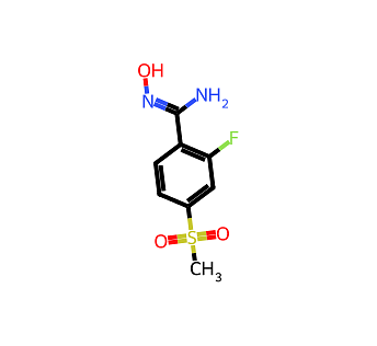 CS(=O)(=O)c1ccc(/C(N)=N/O)c(F)c1